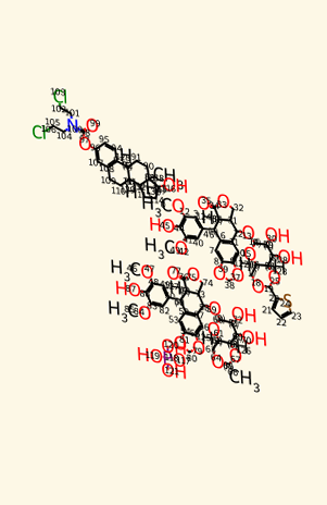 COc1cc([C@@H]2c3cc4c(cc3C(O[C@@H]3O[C@@H]5COC(c6cccs6)O[C@H]5[C@H](O)[C@H]3O)C3COC(=O)[C@@H]32)OCO4)cc(OC)c1O.COc1cc([C@@H]2c3cc4c(cc3C(O[C@@H]3O[C@@H]5CO[C@@H](C)O[C@H]5[C@H](O)[C@H]3O)C3COC(=O)[C@@H]32)OCO4)cc(OC)c1O.C[C@]12CC[C@@H]3c4ccc(OC(=O)N(CCCl)CCCl)cc4CC[C@H]3[C@@H]1CC[C@@H]2O.O=P(O)(O)O